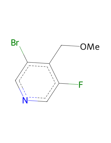 COCc1c(F)cncc1Br